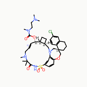 CN(C)CCN(C)C(=O)O[C@H]1/C=C/CN(C)C(C)(C)C(=O)NS(=O)(=O)c2ccc3c(c2)N(C[C@@H]2CC[C@H]21)C[C@@]1(CCCc2cc(Cl)ccc21)CO3